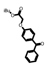 CCC(C)OC(=O)COc1ccc(C(=O)c2ccccc2)cc1